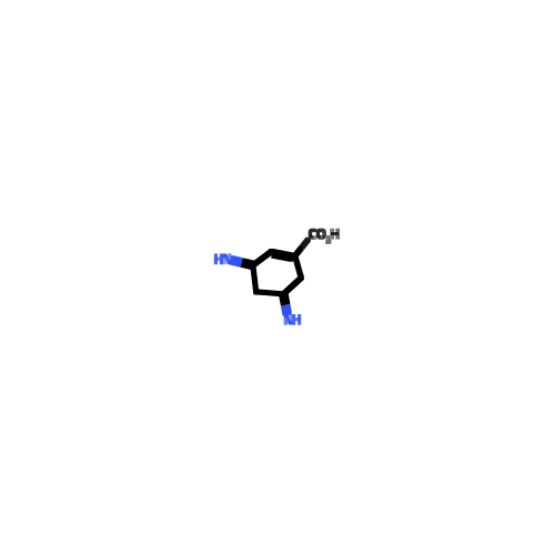 N=C1C=C(C(=O)O)CC(=N)C1